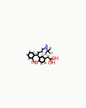 CN(CC/C=C1/c2ccccc2COc2ccc(CC(O)O)cc21)C(C)(C)C